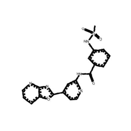 CS(=O)(=O)Nc1cccc(C(=O)Nc2cc(-c3nc4ncccc4o3)ccn2)c1